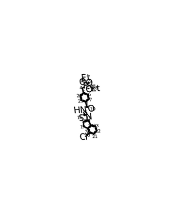 CCOP(=O)(Cc1ccc(C(=O)Nc2nc3c(s2)Cc2c(Cl)cccc2-3)cc1)OCC